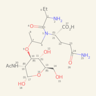 CCC(N)C(=O)N(CC(C)O[C@H]1[C@H](O)[C@@H](CO)O[C@H](O)[C@@H]1NC(C)=O)[C@@H](CCC(N)=O)C(=O)O